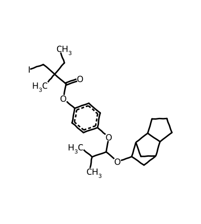 CCC(C)(CI)C(=O)Oc1ccc(OC(OC2CC3CC2C2CCCC32)C(C)C)cc1